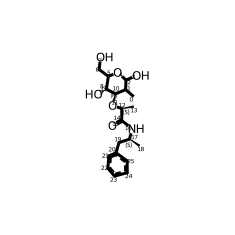 CC1C(O)OC(CO)[C@@H](O)[C@@H]1O[C@@H](C)C(=O)N[C@@H](C)Cc1ccccc1